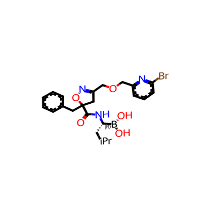 CC(C)C[C@H](NC(=O)C1(Cc2ccccc2)CC(COCc2cccc(Br)n2)=NO1)B(O)O